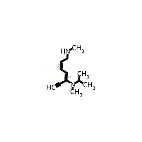 C#C/C(=C\C=C/CNC)N(C)C(C)C